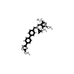 Cc1nc(-c2ccc(-c3ccc(CN(Cc4c(C)nn(C)c4C)C4CC4)cc3)cc2)no1